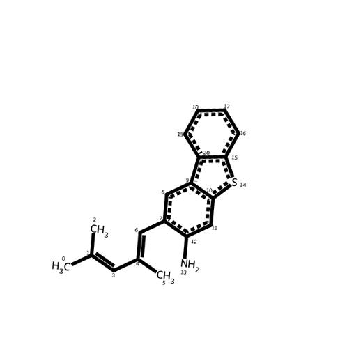 CC(C)=C/C(C)=C/c1cc2c(cc1N)sc1ccccc12